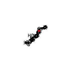 CC(C)(C)OC(=O)N1Cc2cnc(C(O)c3cccc(N4CCN(C(=O)OCc5ccccc5)CC4)c3)nc2C1